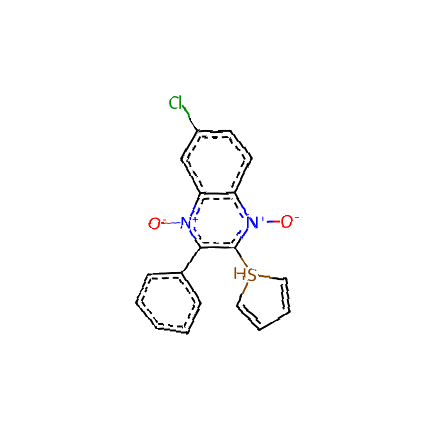 [O-][n+]1c(-c2ccccc2)c([SH]2C=CC=C2)[n+]([O-])c2ccc(Cl)cc21